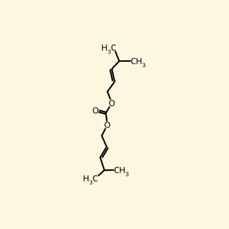 CC(C)C=CCOC(=O)OCC=CC(C)C